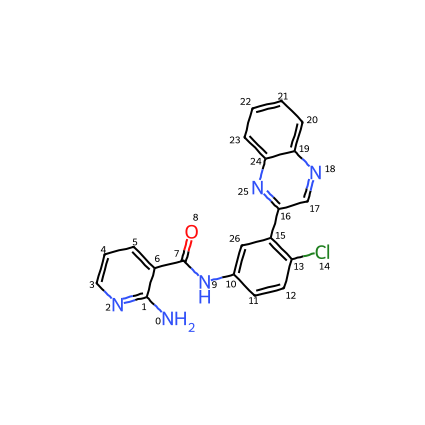 Nc1ncccc1C(=O)Nc1ccc(Cl)c(-c2cnc3ccccc3n2)c1